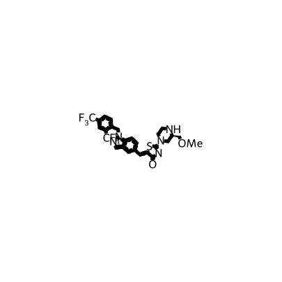 COC[C@H]1CN(C2=NC(=O)/C(=C/c3ccc4c(cnn4Cc4ccc(C(F)(F)F)cc4C(F)(F)F)c3)S2)CCN1